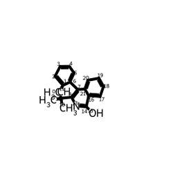 Cc1ccccc1-c1c(C(C)(C)C)nc(O)c2ccccc12